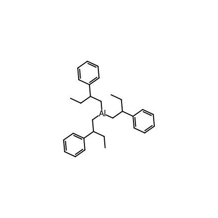 CCC([CH2][Al]([CH2]C(CC)c1ccccc1)[CH2]C(CC)c1ccccc1)c1ccccc1